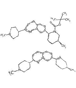 C[C@H]1CC=C(c2ccc3ccc(C4CCN(C)CC4)nc3c2)N(C(=O)OC(C)(C)C)C1.C[C@H]1CCC(c2ccc3ccc(C4CCN(C)CC4)nc3c2)=NC1